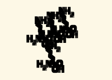 NCCCCC(N)C(=O)O.NCCCCC(N)C(=O)O.NCCCCC(N)C(=O)O.NCCCCC(N)C(=O)O